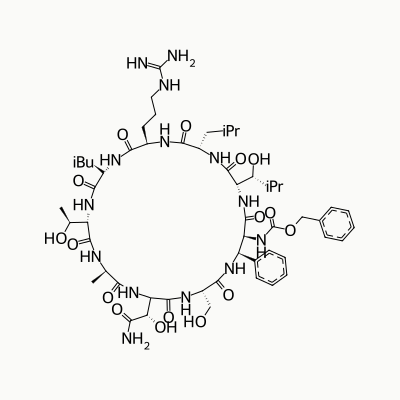 CC[C@H](C)[C@@H]1NC(=O)[C@@H](CCCNC(=N)N)NC(=O)[C@H](CC(C)C)NC(=O)[C@H]([C@H](O)C(C)C)NC(=O)[C@@H](NC(=O)OCc2ccccc2)[C@@H](c2ccccc2)NC(=O)[C@H](CO)NC(=O)C([C@H](O)C(N)=O)NC(=O)[C@@H](C)NC(=O)[C@H]([C@H](C)O)NC1=O